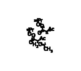 C=CC.CC(=O)CC(=O)OOC(C)C.CC(=O)CC(=O)OOC(C)C